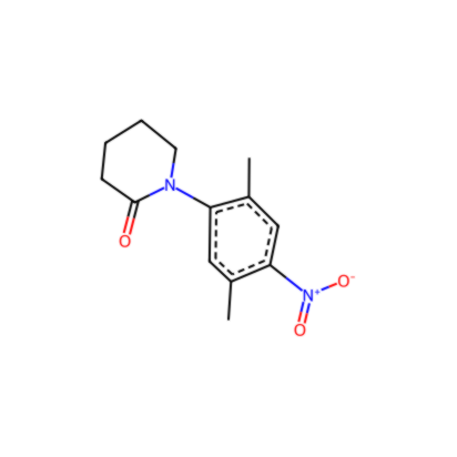 Cc1cc([N+](=O)[O-])c(C)cc1N1CCCCC1=O